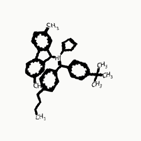 CCCCc1ccc(/[C](c2ccc(C(C)(C)C)cc2)=[Hf](/[C]2=CC=CC2)[CH]2c3cc(C)ccc3-c3ccc(C)cc32)cc1